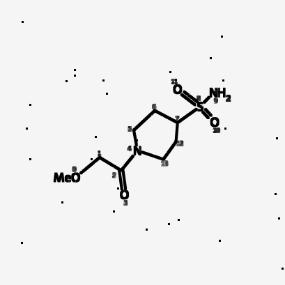 COCC(=O)N1CCC(S(N)(=O)=O)CC1